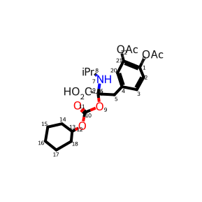 CC(=O)Oc1ccc(C[C@](NC(C)C)(OC(=O)OC2CCCCC2)C(=O)O)cc1OC(C)=O